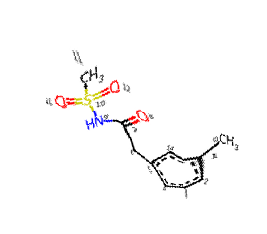 Cc1cccc(CC(=O)NS(C)(=O)=O)c1